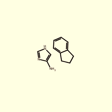 Nc1c[nH]cn1.c1ccc2c(c1)CCC2